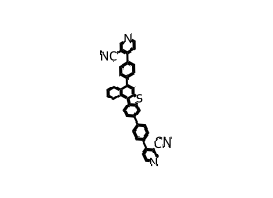 N#Cc1cnccc1-c1ccc(-c2ccc3c(c2)sc2cc(-c4ccc(-c5ccncc5C#N)cc4)c4ccccc4c23)cc1